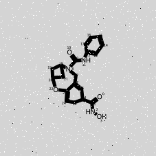 O=C(NO)C1C=C2CN(C(=O)Nc3ccccc3)C3CC(C3)OC2=CC1